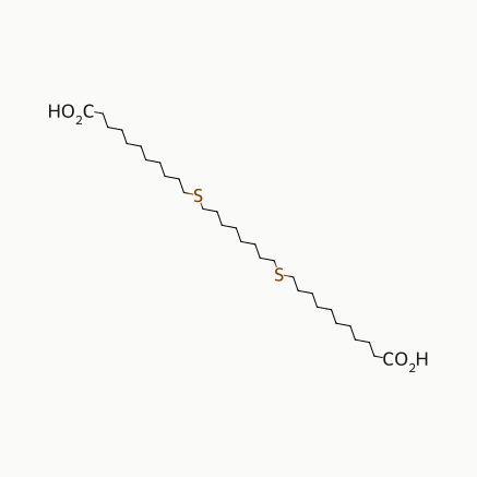 O=C(O)CCCCCCCCCCSCCCCCCCCSCCCCCCCCCCC(=O)O